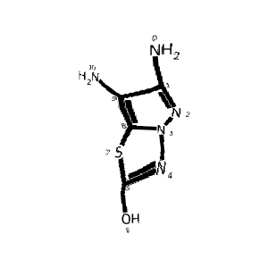 Nc1nn2nc(O)sc2c1N